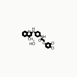 Cc1cc(NC2CCC(NC(=O)COc3ccc(Cl)c(Cl)c3)CC2)nc2ccccc12.Cl